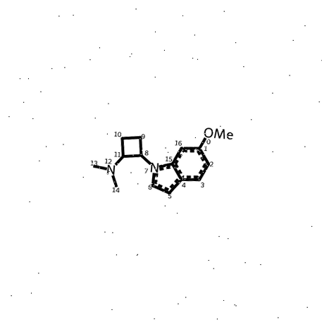 COc1ccc2ccn(C3CCC3N(C)C)c2c1